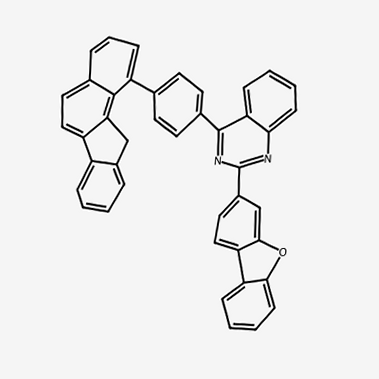 c1ccc2c(c1)Cc1c-2ccc2cccc(-c3ccc(-c4nc(-c5ccc6c(c5)oc5ccccc56)nc5ccccc45)cc3)c12